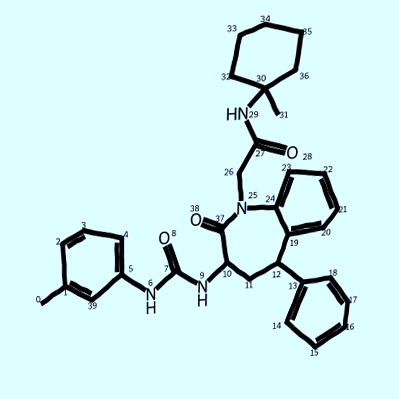 Cc1cccc(NC(=O)NC2CC(c3ccccc3)c3ccccc3N(CC(=O)NC3(C)CCCCC3)C2=O)c1